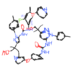 C=C(/C=C(F)\C(=C/C)NC(=O)Nc1cc(C(C)(CO)Cc2cc(Oc3ccc(NC(=O)Nc4cc(C(C)(C)CO)nn4-c4ccc(C)cc4)cc3)ccn2)nn1-c1ccc(C)cc1)Oc1ccncc1